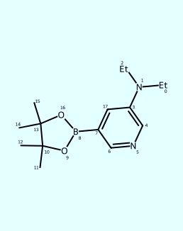 CCN(CC)c1cncc(B2OC(C)(C)C(C)(C)O2)c1